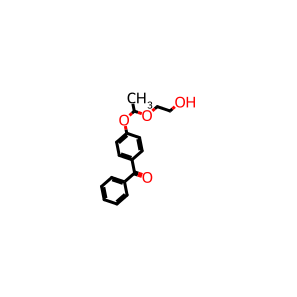 CC(OCCO)Oc1ccc(C(=O)c2ccccc2)cc1